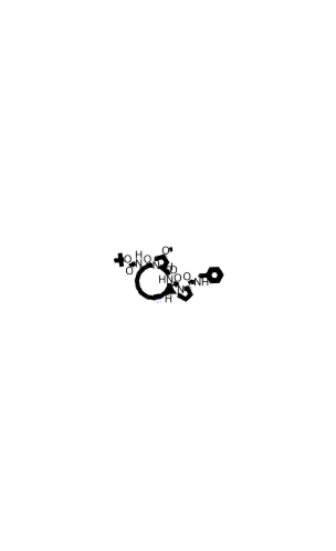 CO[C@@H]1C[C@H]2C(=O)N[C@]3(C(=O)N4CCC[C@H]4C(=O)NCc4ccccc4)C[C@H]3/C=C\CCCCC[C@H](NC(=O)OC(C)(C)C)C(=O)N2C1